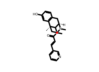 CN(C(=O)/C=C/c1cccnc1)C1[C@H]2Cc3ccc(O)cc3[C@]1(C)CCN2C